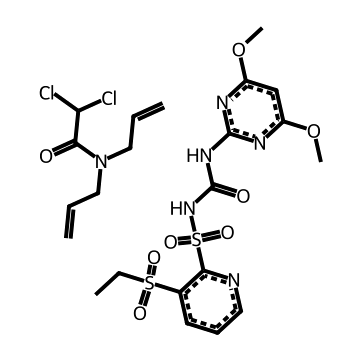 C=CCN(CC=C)C(=O)C(Cl)Cl.CCS(=O)(=O)c1cccnc1S(=O)(=O)NC(=O)Nc1nc(OC)cc(OC)n1